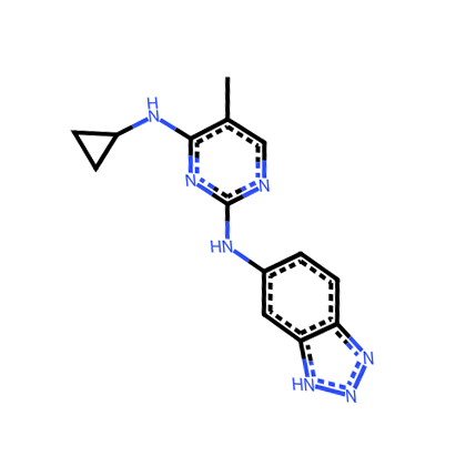 Cc1cnc(Nc2ccc3nn[nH]c3c2)nc1NC1CC1